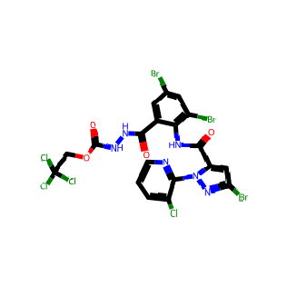 O=C(NNC(=O)c1cc(Br)cc(Br)c1NC(=O)c1cc(Br)nn1-c1ncccc1Cl)OCC(Cl)(Cl)Cl